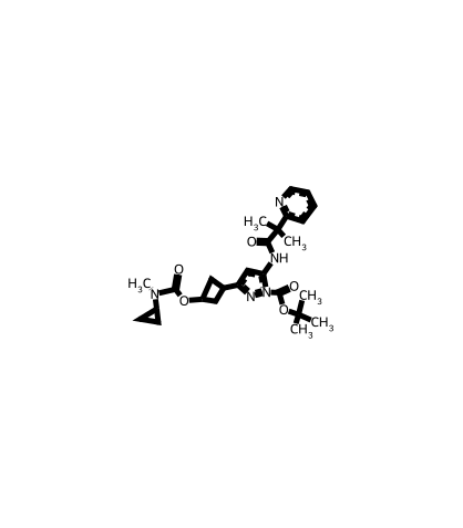 CN(C(=O)OC1CC(c2cc(NC(=O)C(C)(C)c3ccccn3)n(C(=O)OC(C)(C)C)n2)C1)C1CC1